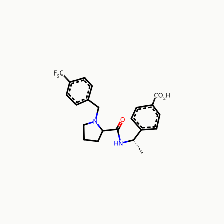 C[C@H](NC(=O)C1CCCN1Cc1ccc(C(F)(F)F)cc1)c1ccc(C(=O)O)cc1